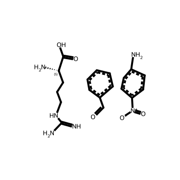 N=C(N)NCCC[C@H](N)C(=O)O.Nc1ccc([N+](=O)[O-])cc1.O=Cc1ccccc1